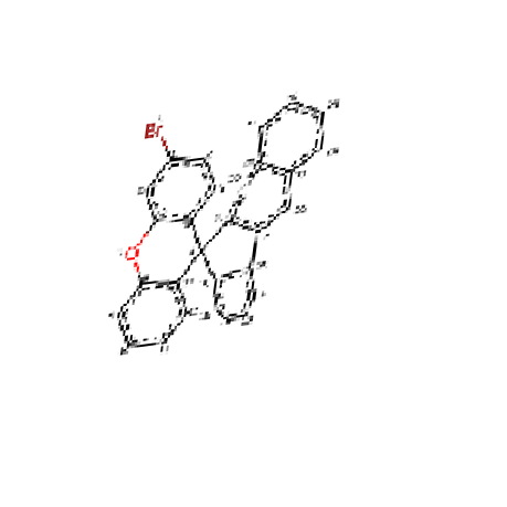 Brc1ccc2c(c1)Oc1ccccc1C21c2ccccc2-c2cc3ccccc3cc21